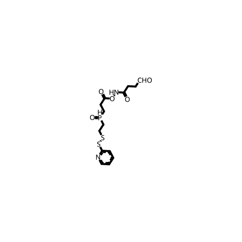 O=CCCC(=O)NOC(=O)CC[PH](=O)CCSSc1ccccn1